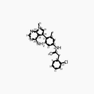 Cc1cc(NC(=O)Cc2ccccc2Cl)ccc1-c1cn(C)c2ncnc(N)c12